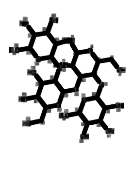 CC(=O)NC1C(O)OC(CO)C(OC2OC(C)C(O)C(O)C2O)C1OC1OC(CO)C(O)C(O)C1OC1OC(C)C(O)C(O)C1O